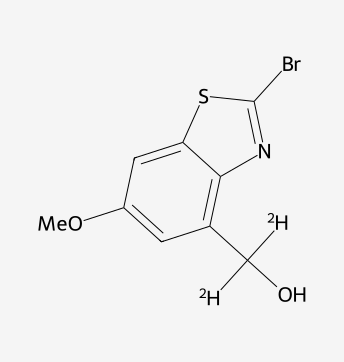 [2H]C([2H])(O)c1cc(OC)cc2sc(Br)nc12